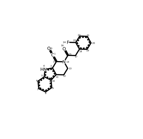 O=C=C1c2[nH]c3ccccc3c2CCN1C(=O)Cc1ccccc1F